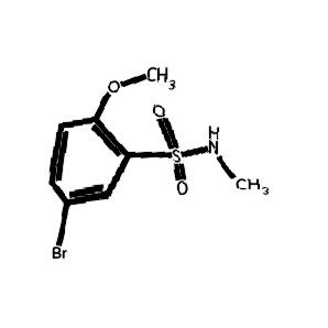 CNS(=O)(=O)c1cc(Br)ccc1OC